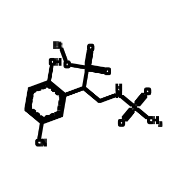 CCOS(=O)(=O)C(CNS(C)(=O)=O)c1cc(C#N)ccc1O